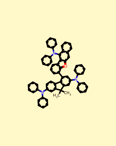 CC1(C)c2cc(N(c3ccccc3)c3ccccc3)ccc2-c2c(-c3cccc4c3oc3cc5ccccc5c(N(c5ccccc5)c5ccccc5)c34)cc(N(c3ccccc3)c3ccccc3)cc21